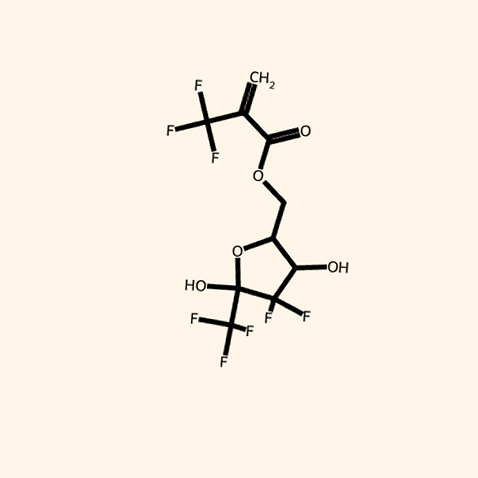 C=C(C(=O)OCC1OC(O)(C(F)(F)F)C(F)(F)C1O)C(F)(F)F